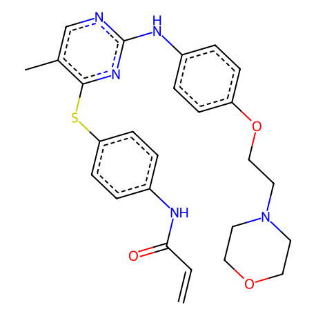 C=CC(=O)Nc1ccc(Sc2nc(Nc3ccc(OCCN4CCOCC4)cc3)ncc2C)cc1